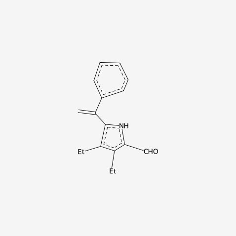 C=C(c1ccccc1)c1[nH]c(C=O)c(CC)c1CC